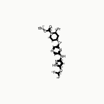 CC(C)[C@H]1C[C@@H](Oc2cncc(Nc3cc(OC(F)F)[nH]n3)n2)CCN1C(=O)OC(C)(C)C